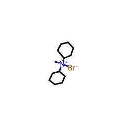 C[N+](C)(C1CCCCC1)C1CCCCC1.[Br-]